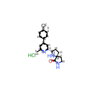 Cc1cc(-c2ccc(C(F)(F)F)cc2)cc([C@@H]2CC[C@]3(CCNC3=O)N2)n1.Cl